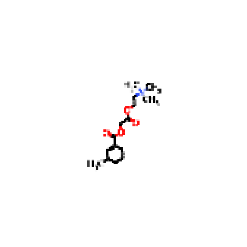 CC1C=C(C(=O)OCC(=O)OCC[N+](C)(C)C)CCC1